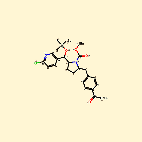 COC(=O)c1ccc(CC2CCC(C(O[Si](C)(C)C(C)(C)C)c3ccc(Cl)nc3)N2C(=O)OC(C)(C)C)cc1